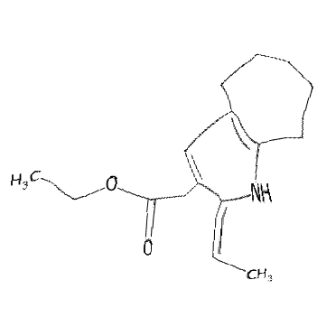 CC=C1NC2=C(C=C1C(=O)OCC)CCCCC2